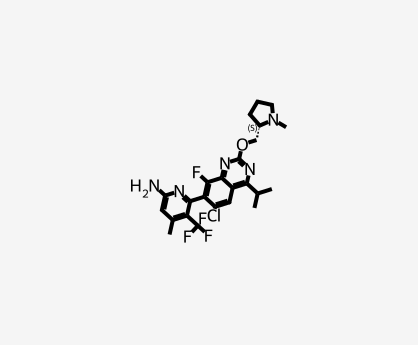 Cc1cc(N)nc(-c2c(Cl)cc3c(C(C)C)nc(OC[C@@H]4CCCN4C)nc3c2F)c1C(F)(F)F